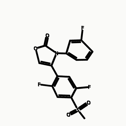 CS(=O)(=O)c1cc(F)c(-c2coc(=O)n2-c2cccc(F)c2)cc1F